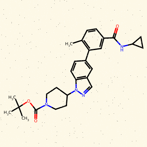 Cc1ccc(C(=O)NC2CC2)cc1-c1ccc2c(cnn2C2CCN(C(=O)OC(C)(C)C)CC2)c1